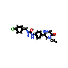 CN1C[C@H](c2ccc(NC(=O)NCc3ccc(Cl)cc3)cc2)NCC1=O